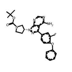 CC(C)(C)OC(=O)N1CC[C@@H](n2nc(-c3ccc(Oc4ccccc4)c(F)c3)c3c(N)ncnc32)C1